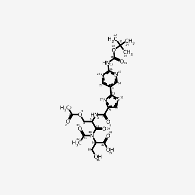 CC(=O)OCC(NC(=O)c1csc(-c2cnc(NC(=O)OC(C)(C)C)nc2)n1)C(=O)N(C(C)=O)C(CO)C(=O)O